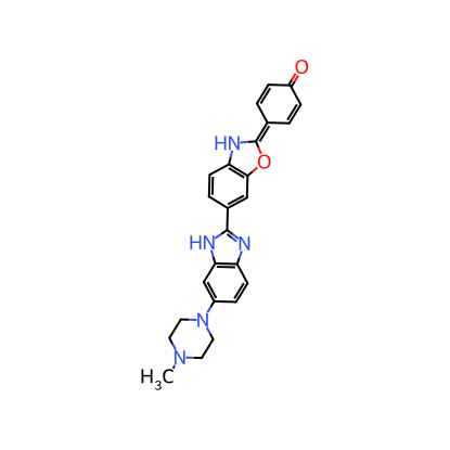 CN1CCN(c2ccc3nc(-c4ccc5c(c4)OC(=C4C=CC(=O)C=C4)N5)[nH]c3c2)CC1